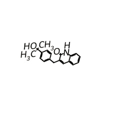 CC(C)(O)c1ccc(Cc2cc3ccccc3[nH]c2=O)cc1